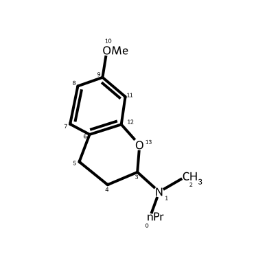 CCCN(C)C1CCc2ccc(OC)cc2O1